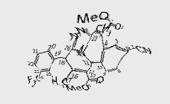 COC(=O)Cc1cc(C#N)ccc1C1C(C(=O)OC)=C(C)C(c2cccc(C(F)(F)F)c2)c2nnc(C)n21